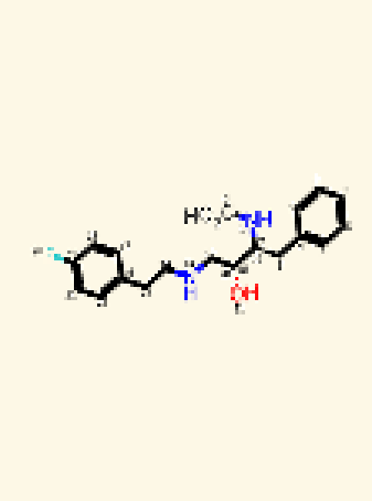 O=C(O)N[C@@H](Cc1ccccc1)[C@H](O)CNCCc1ccc(F)cc1